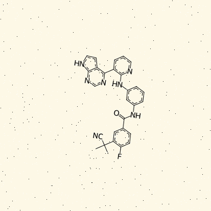 CC(C)(C#N)c1cc(C(=O)Nc2cccc(Nc3ncccc3-c3ncnc4[nH]ccc34)c2)ccc1F